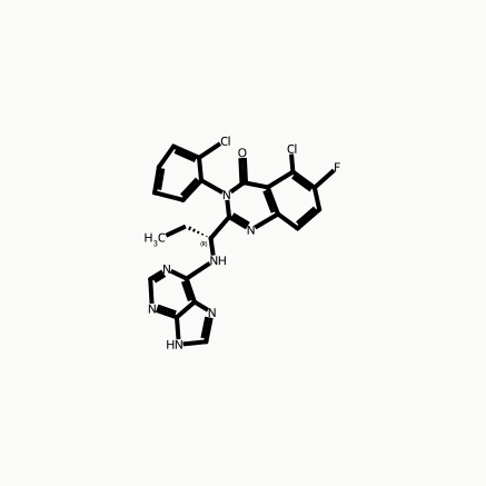 CC[C@@H](Nc1ncnc2[nH]cnc12)c1nc2ccc(F)c(Cl)c2c(=O)n1-c1ccccc1Cl